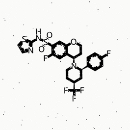 O=S(=O)(Nc1nccs1)c1cc2c(cc1F)[C@H](N1CC[C@H](C(F)(F)F)C[C@@H]1c1ccc(F)cc1)CCO2